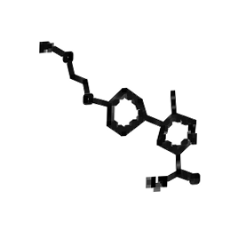 Cc1cnc(C(N)=O)cc1-c1ccc(OCCOC(C)C)cc1